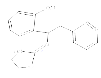 COc1ccccc1C(Cc1cccnc1)/N=C1\NCCO1